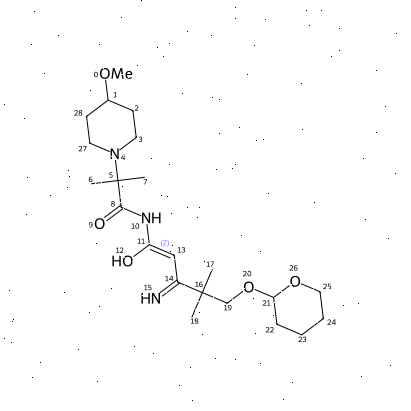 COC1CCN(C(C)(C)C(=O)N/C(O)=C/C(=N)C(C)(C)COC2CCCCO2)CC1